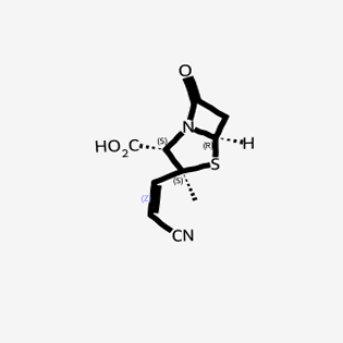 C[C@@]1(/C=C\C#N)S[C@@H]2CC(=O)N2[C@H]1C(=O)O